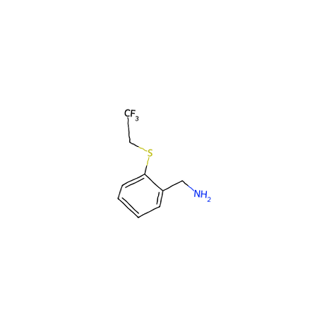 NCc1ccccc1SCC(F)(F)F